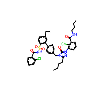 CCCCNC(=O)c1cccc(-n2nc(CCCC)n(Cc3ccc(-c4cc(CC)ccc4S(=O)(=O)NC(=O)c4ccccc4Cl)cc3)c2=O)c1Cl